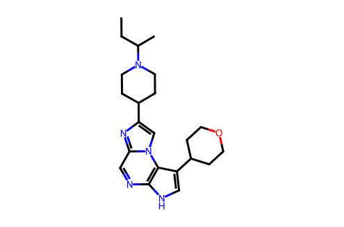 CCC(C)N1CCC(c2cn3c(cnc4[nH]cc(C5CCOCC5)c43)n2)CC1